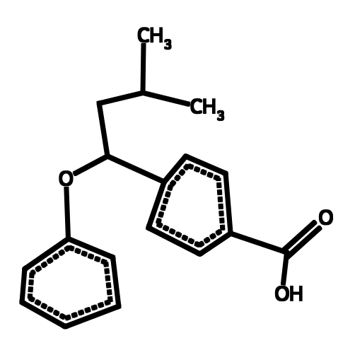 CC(C)CC(Oc1ccccc1)c1ccc(C(=O)O)cc1